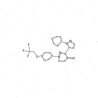 O=c1ccn(-c2ccc(OCC(F)(F)F)cc2)nc1-c1ccnn1-c1ccccc1